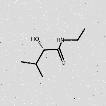 CCNC(=O)[C@@H](O)C(C)C